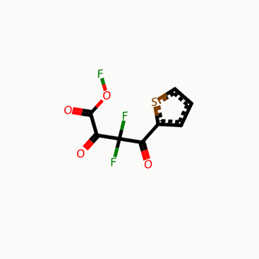 O=C(OF)C(=O)C(F)(F)C(=O)c1cccs1